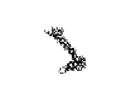 CCC(C)N1NCN(c2ccc(N3CCN(c4ccc(OCC(O)(Cn5cncn5)c5ccc(Cl)cc5Cl)cc4)CC3)cc2)C1=O